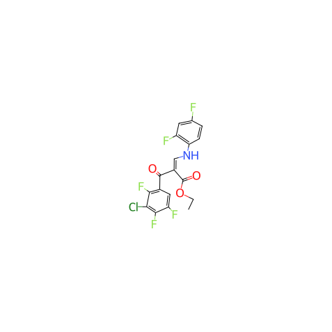 CCOC(=O)/C(=C\Nc1ccc(F)cc1F)C(=O)c1cc(F)c(F)c(Cl)c1F